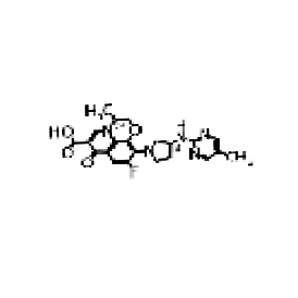 Cc1cnc(N[C@H]2CCN(c3c(F)cc4c(=O)c(C(=O)O)cn5c4c3OC[C@@H]5C)C2)nc1